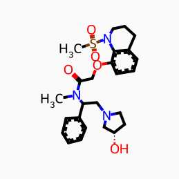 CN(C(=O)COc1cccc2c1N(S(C)(=O)=O)CCC2)C(CN1CC[C@H](O)C1)c1ccccc1